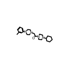 Cc1cccc(N2CCN(CC(=O)N3CCN(C4CCCCC4)CC3)CC2)c1